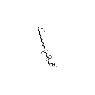 C=CCOC(=O)CCC(=O)OCCCCCCCCCCCC